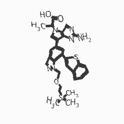 CC(C(=O)O)n1cc(-c2cc(-c3cc4ccccc4s3)c3c(cnn3COCC[Si](C)(C)C)c2)c2nc(N)ncc21